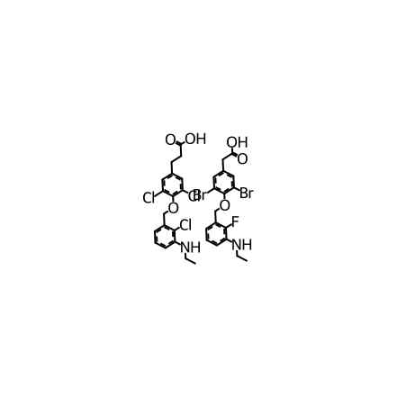 CCNc1cccc(COc2c(Br)cc(CC(=O)O)cc2Br)c1F.CCNc1cccc(COc2c(Cl)cc(CCC(=O)O)cc2Cl)c1Cl